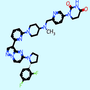 CN(Cc1ccc(N2CCC(=O)NC2=O)cn1)C1CCN(c2cccc(-c3cnn4ccc(N5CCC[C@@H]5c5ccc(F)cc5F)nc34)n2)CC1